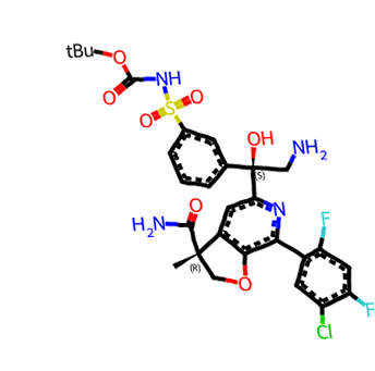 CC(C)(C)OC(=O)NS(=O)(=O)c1cccc([C@](O)(CN)c2cc3c(c(-c4cc(Cl)c(F)cc4F)n2)OC[C@]3(C)C(N)=O)c1